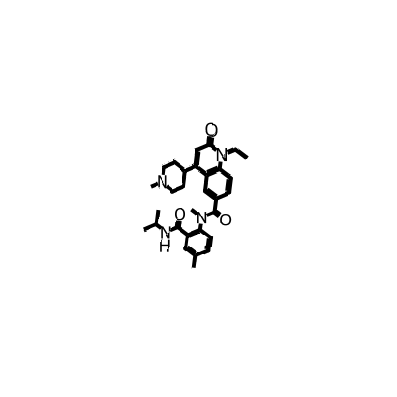 CCn1c(=O)cc(C2CCN(C)CC2)c2cc(C(=O)N(C)c3ccc(C)cc3C(=O)NC(C)C)ccc21